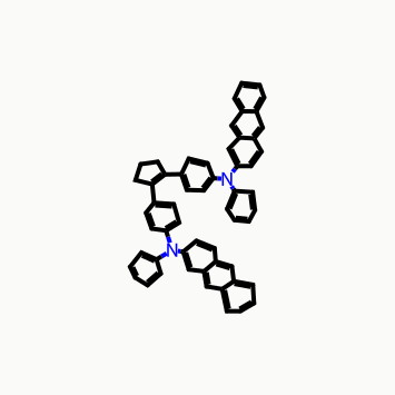 c1ccc(N(c2ccc(C3=C(c4ccc(N(c5ccccc5)c5ccc6cc7ccccc7cc6c5)cc4)CCC3)cc2)c2ccc3cc4ccccc4cc3c2)cc1